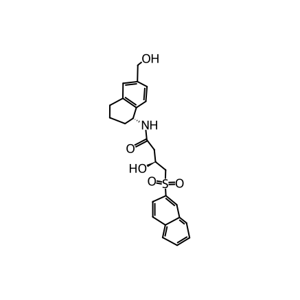 O=C(C[C@H](O)CS(=O)(=O)c1ccc2ccccc2c1)N[C@@H]1CCCc2cc(CO)ccc21